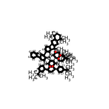 CC(C)(C)c1ccc(N2B3c4cc(N(c5cccc(C(C)(C)C)c5)c5cccc(C(C)(C)C)c5)ccc4N(c4ccc(C(C)(C)C)cc4-c4ccccc4)c4cc5c(sc6ccccc65)c(c43)-c3ccc4c(c32)C(C)(C)c2cc3c(cc2-4)C(C)(C)CCC3(C)C)cc1